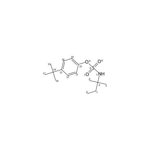 CCC(C)(C)NS(=O)(=O)Oc1ccc(C(C)(C)C)cc1